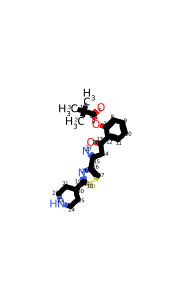 CC(C)(C)C(=O)Oc1ccccc1C1CC(c2csc(C3CCNCC3)n2)=NO1